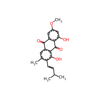 COc1cc(O)c2c(c1)C(=O)c1cc(C)c(C=CC(C)C)c(O)c1C2=O